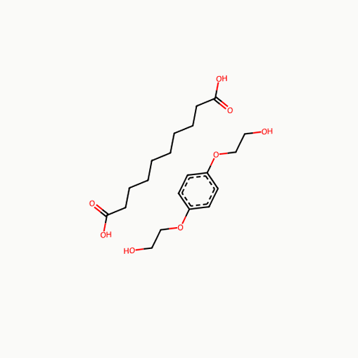 O=C(O)CCCCCCCCC(=O)O.OCCOc1ccc(OCCO)cc1